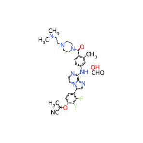 Cc1cc(Nc2nccn3c(-c4ccc(O[C@H](C)C#N)c(F)c4F)cnc23)ccc1C(=O)N1CCN(CCN(C)C)CC1.O=CO